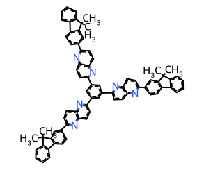 CC1(C)c2ccccc2-c2ccc(-c3ccc4nc(-c5cc(-c6ccc7nc(-c8ccc9c(c8)C(C)(C)c8ccccc8-9)ccc7n6)cc(-c6ccc7nc(-c8ccc9c(c8)C(C)(C)c8ccccc8-9)ccc7n6)c5)ccc4n3)cc21